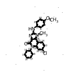 COc1ccc(Nc2nc3c(=O)n(-c4ccccc4)c4cc(Cl)ccc4c3n2C)cc1